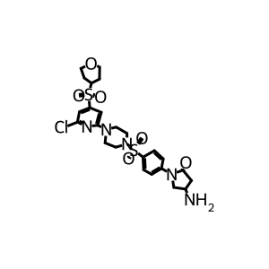 NC1CC(=O)N(c2ccc(S(=O)(=O)N3CCN(c4cc(S(=O)(=O)C5CCOCC5)cc(Cl)n4)CC3)cc2)C1